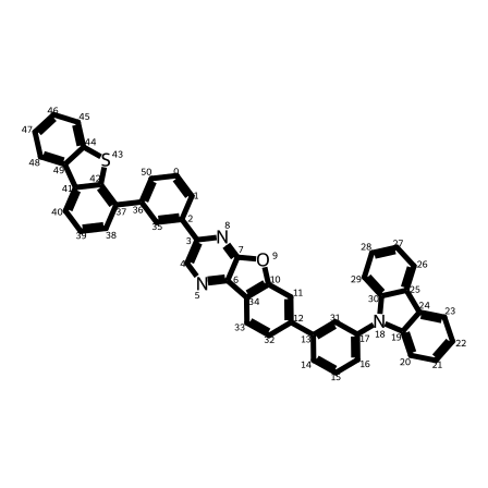 c1cc(-c2cnc3c(n2)oc2cc(-c4cccc(-n5c6ccccc6c6ccccc65)c4)ccc23)cc(-c2cccc3c2sc2ccccc23)c1